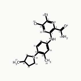 CCc1nc(C(N)=O)c(Nc2ccc(N3CCC(C)C3)c(C)c2)nc1Cl